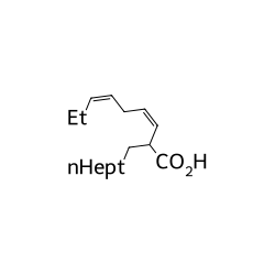 CC/C=C\C/C=C\C(CCCCCCCC)C(=O)O